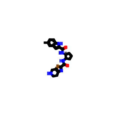 Cc1ccc2[nH]c(C(=O)N[C@@H]3CCCC3NC(=O)c3nc4c(s3)CNCC4)cc2c1